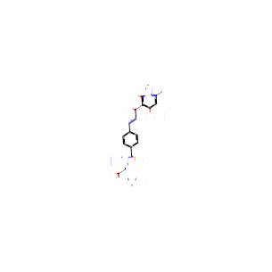 COC(=O)CNC(=O)c1ccc(/C=C/C(=O)c2c(O)cc(C)n(C)c2=O)cc1